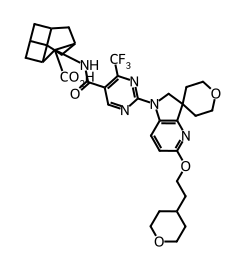 O=C(NC1(C(=O)O)C2CC3CC4CC1C34C2)c1cnc(N2CC3(CCOCC3)c3nc(OCCC4CCOCC4)ccc32)nc1C(F)(F)F